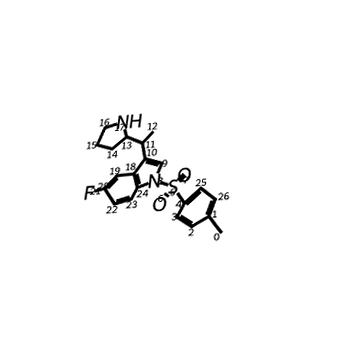 Cc1ccc(S(=O)(=O)n2cc(C(C)C3CCCN3)c3cc(F)ccc32)cc1